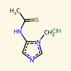 CC(=S)Nc1cncn1C.Cl